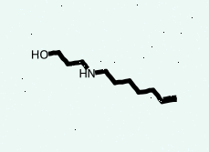 C=CCCCCCNCCCO